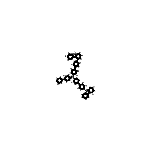 c1ccc(-c2ccc(N(c3ccc(-c4ccc(-c5cccc6oc7ccccc7c56)cc4)cc3)c3ccc(-c4ccc(-n5c6ccccc6c6ccccc65)cc4)cc3)cc2)cc1